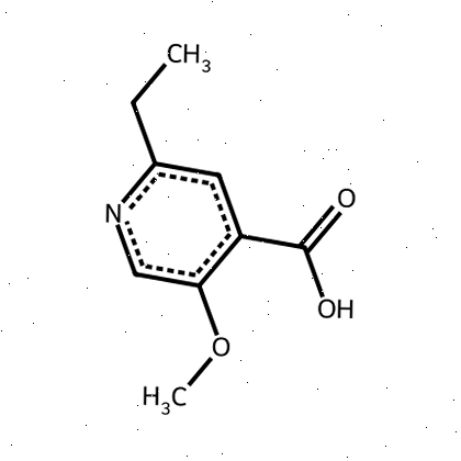 CCc1cc(C(=O)O)c(OC)cn1